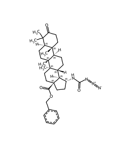 CC1(C)C(=O)CC[C@]2(C)[C@H]3CC[C@@H]4[C@H]5[C@H](NC(=O)N=[N+]=[N-])CC[C@]5(C(=O)OCc5ccccc5)CC[C@@]4(C)[C@]3(C)CC[C@@H]12